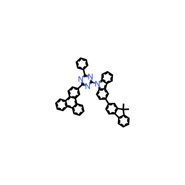 CC1(C)c2ccccc2-c2ccc(-c3ccc4c(c3)c3ccccc3n4-c3nc(-c4ccccc4)nc(-c4ccc5c6ccccc6c6ccccc6c5c4)n3)cc21